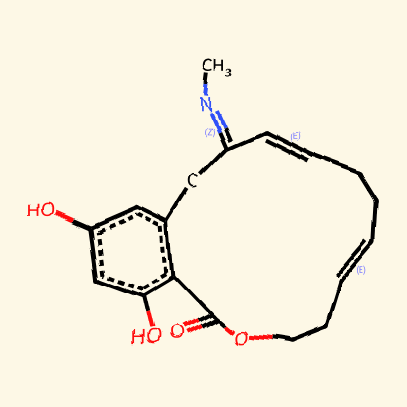 C/N=C1\C=C\CC/C=C/CCOC(=O)c2c(O)cc(O)cc2C1